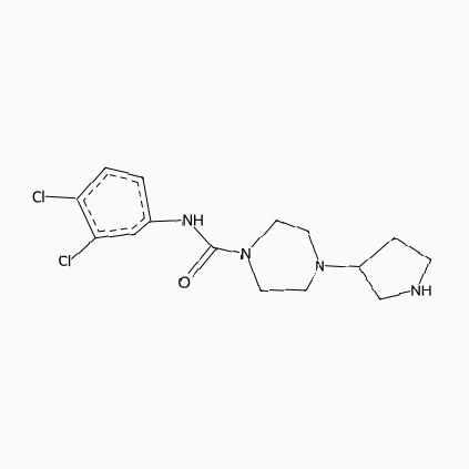 O=C(Nc1ccc(Cl)c(Cl)c1)N1CCN(C2CCNC2)CC1